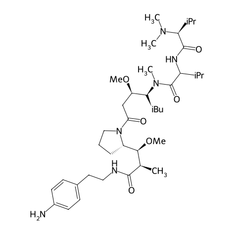 CC[C@H](C)[C@@H]([C@@H](CC(=O)N1CCC[C@H]1[C@@H](OC)[C@@H](C)C(=O)NCCc1ccc(N)cc1)OC)N(C)C(=O)C(NC(=O)[C@H](C(C)C)N(C)C)C(C)C